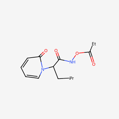 CCC(=O)ONC(=O)C(CC(C)C)n1ccccc1=O